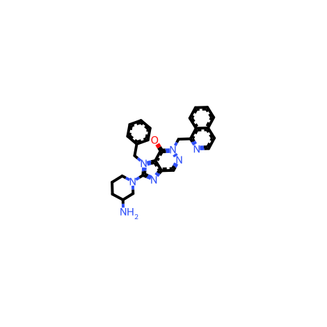 NC1CCCN(c2nc3cnn(Cc4nccc5ccccc45)c(=O)c3n2Cc2ccccc2)C1